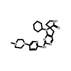 CN1CCN(c2ccc(Nc3ncc4c(n3)N(C3CCCCC3)C3(CCNC3=O)C4)nc2)CC1